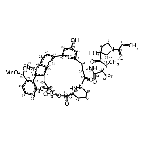 C=CC(=O)N1CCC(O)(C(=O)N(C)[C@H](C(=O)N[C@H]2Cc3cc(O)cc(c3)-c3ccc4c(c3)c(c(-c3cnccc3[C@H](C)OC)n4CC)CC(C)(C)COC(=O)[C@@]3(O)CCCN(N3)C2=O)C(C)C)C1